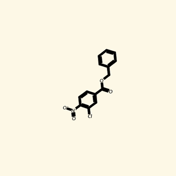 O=C(OCc1ccccc1)c1ccc([N+](=O)[O-])c(Cl)c1